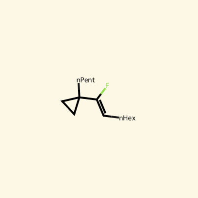 CCCCCCC=C(F)C1(CCCCC)CC1